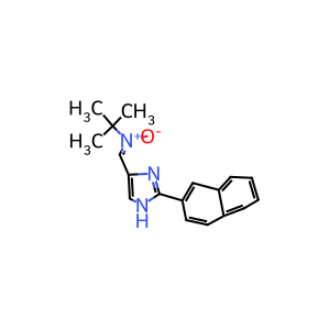 CC(C)(C)[N+]([O-])=Cc1c[nH]c(-c2ccc3ccccc3c2)n1